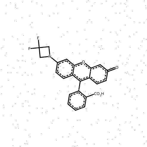 O=C(O)c1ccccc1-c1c2ccc(=O)cc-2oc2cc(N3CC(F)(F)C3)ccc12